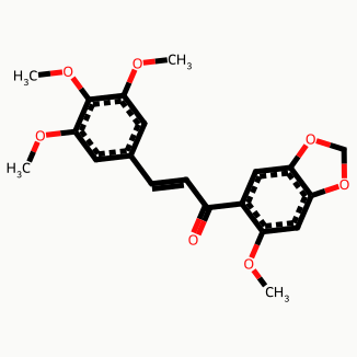 COc1cc2c(cc1C(=O)C=Cc1cc(OC)c(OC)c(OC)c1)OCO2